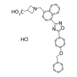 Cl.O=C(O)C1CN(Cc2ccc(-c3noc(-c4ccc(OCc5ccccc5)cc4)n3)c3ccccc23)C1